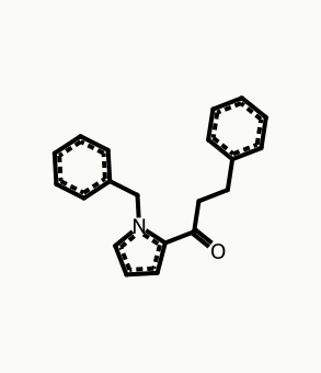 O=C(CCc1ccccc1)c1cccn1Cc1ccccc1